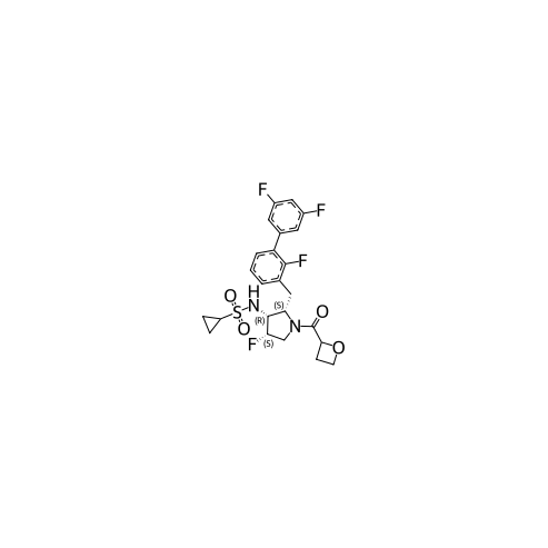 O=C(C1CCO1)N1C[C@H](F)[C@H](NS(=O)(=O)C2CC2)[C@@H]1Cc1cccc(-c2cc(F)cc(F)c2)c1F